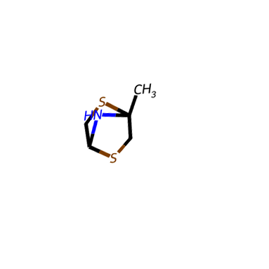 CC12CSC(CS1)N2